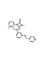 Cc1cccc(-n2[nH]n(C)c2=O)c1COc1cccc(OCc2ccncc2)c1